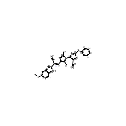 COc1cc2nc(/C(C#N)=C/c3cc(C)n(-c4sc(Cc5ccccc5)nc4C#N)c3C)[nH]c2cn1